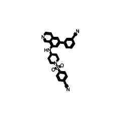 N#Cc1ccc(S(=O)(=O)N2CCC(Nc3cc(-c4cccc(C#N)c4)cc4ccncc34)CC2)cc1